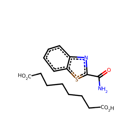 NC(=O)c1nc2ccccc2s1.O=C(O)CCCCCCC(=O)O